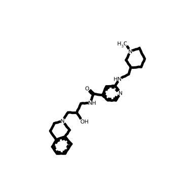 CN1CCCC(CNc2cc(C(=O)NCC(O)CN3CCc4ccccc4C3)ccn2)C1